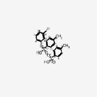 Cc1ccc(S(=O)(=O)O)cc1.Cc1ccc(S(=O)(=O)O)cc1.Ic1ccccc1